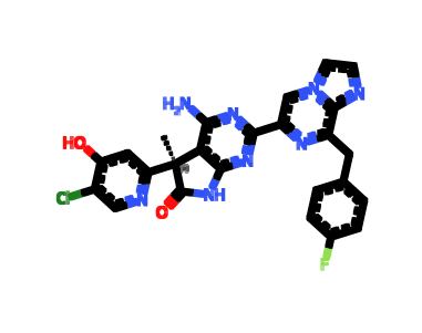 C[C@@]1(c2cc(O)c(Cl)cn2)C(=O)Nc2nc(-c3cn4ccnc4c(Cc4ccc(F)cc4)n3)nc(N)c21